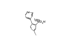 Cc1ccc(-c2ccncc2)c(C(=O)O)c1.Cl